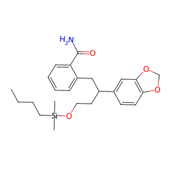 CCCC[Si](C)(C)OCCC(Cc1ccccc1C(N)=O)c1ccc2c(c1)OCO2